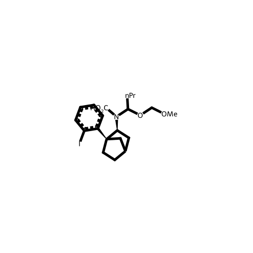 CCCC(OCOC)N(C(=O)O)[C@H]1CC2CC[C@@]1(c1ccccc1I)C2